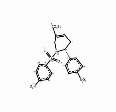 CCOC(=O)C1=CC[C@H](c2ccc([N+](=O)[O-])cc2)N(S(=O)(=O)c2ccc([N+](=O)[O-])cc2)C1